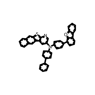 c1ccc(-c2ccc(N(c3ccc(-c4cccc5c4oc4ccccc45)cc3)c3cnc4sc5cc6ccccc6cc5c4c3)cc2)cc1